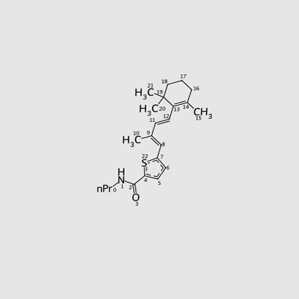 CCCNC(=O)c1ccc(C=C(C)C=CC2=C(C)CCCC2(C)C)s1